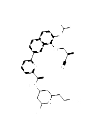 C=C(C#N)CNc1c(OC(F)F)ccc2ccc(-c3cccc(C(=O)NC4CC(C)NC(CCC)C4)n3)cc12